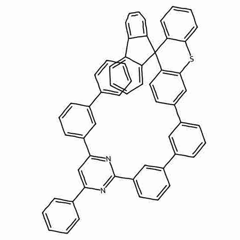 c1ccc(-c2cccc(-c3cc(-c4ccccc4)nc(-c4cccc(-c5cccc(-c6ccc7c(c6)Sc6ccccc6C76c7ccccc7-c7ccccc76)c5)c4)n3)c2)cc1